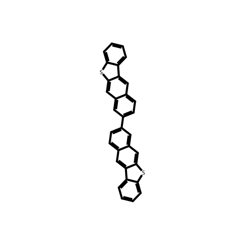 c1ccc2c(c1)sc1cc3cc(-c4ccc5cc6c(cc5c4)sc4ccccc46)ccc3cc12